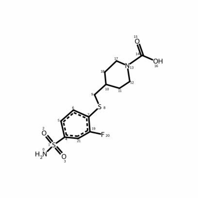 NS(=O)(=O)c1ccc(SCC2CCN(C(=O)O)CC2)c(F)c1